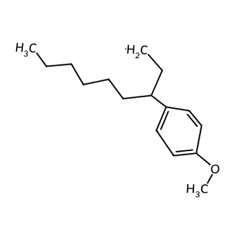 [CH2]CC(CCCCCC)c1ccc(OC)cc1